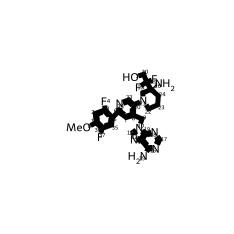 COc1cc(F)c(-c2cc(Cn3cnc4c(N)ncnc43)c(N3CCC[C@](N)(C(F)(F)CO)C3)cn2)cc1F